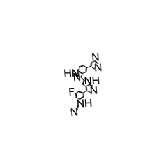 CN(C)CCNc1cc(F)cc(-c2cncc3[nH]c(-c4n[nH]c5ccc(-c6cncc(N(C)C)c6)cc45)cc23)c1